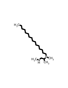 CCCCCCCCCCCCCCCCN(C)C(C)CNC